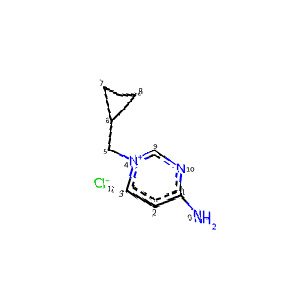 Nc1cc[n+](CC2CC2)cn1.[Cl-]